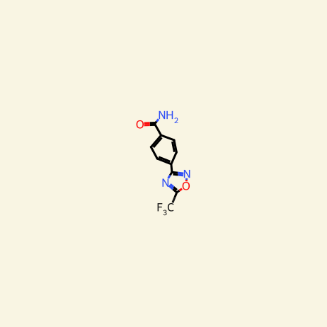 NC(=O)c1ccc(-c2noc(C(F)(F)F)n2)cc1